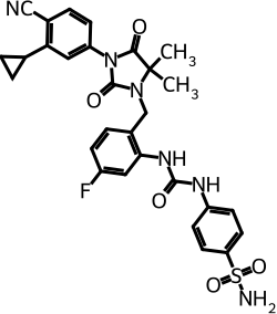 CC1(C)C(=O)N(c2ccc(C#N)c(C3CC3)c2)C(=O)N1Cc1ccc(F)cc1NC(=O)Nc1ccc(S(N)(=O)=O)cc1